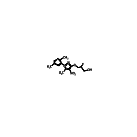 Cc1cnc(C)c(-n2nc(OCC(F)CO)c([N+](=O)[O-])c2C)c1